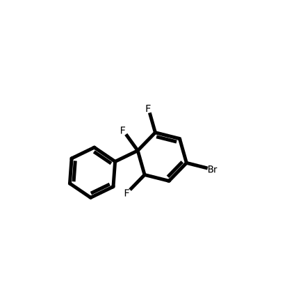 FC1=CC(Br)=CC(F)C1(F)c1ccccc1